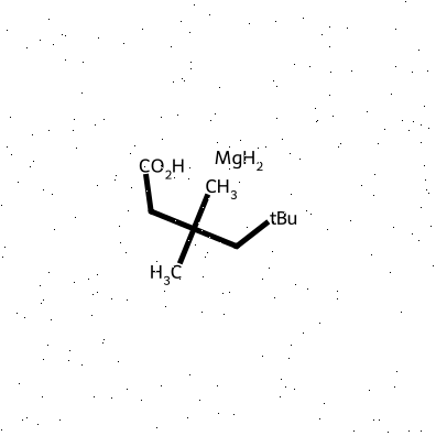 CC(C)(C)CC(C)(C)CC(=O)O.[MgH2]